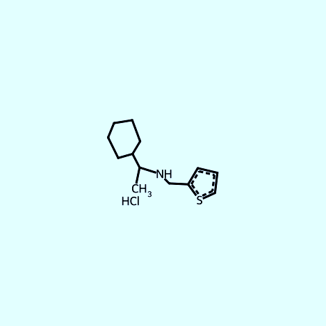 CC(NCc1cccs1)C1CCCCC1.Cl